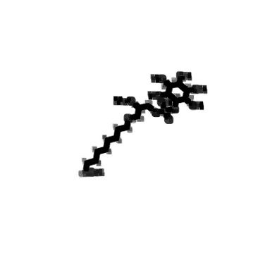 CCCCCCCCCCCCCCCCCCOCC(COP(=O)(O)OC1C(O)C(O)C(O)C(O)C1O)OC